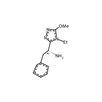 CCn1c(OC)nnc1[C@H](N)Cc1ccccc1